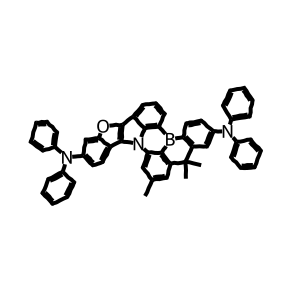 Cc1cc2c3c(c1)C(C)(C)c1cc(N(c4ccccc4)c4ccccc4)ccc1B3c1cccc3c4oc5cc(N(c6ccccc6)c6ccccc6)ccc5c4n-2c13